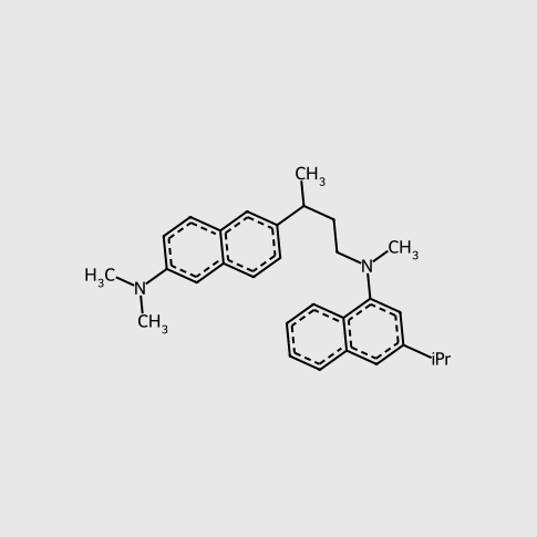 CC(C)c1cc(N(C)CCC(C)c2ccc3cc(N(C)C)ccc3c2)c2ccccc2c1